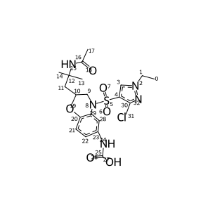 CCn1cc(S(=O)(=O)N2CC(CC(C)(C)NC(C)=O)Oc3ccc(NC(=O)O)cc32)c(Cl)n1